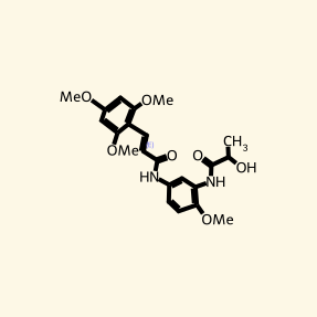 COc1cc(OC)c(/C=C/C(=O)Nc2ccc(OC)c(NC(=O)C(C)O)c2)c(OC)c1